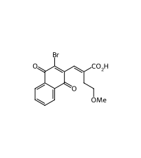 COCCC(=CC1=C(Br)C(=O)c2ccccc2C1=O)C(=O)O